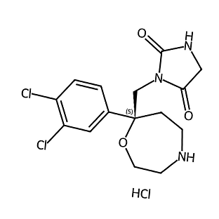 Cl.O=C1CNC(=O)N1C[C@@]1(c2ccc(Cl)c(Cl)c2)CCNCCO1